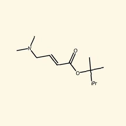 CC(C)C(C)(C)OC(=O)/C=C/CN(C)C